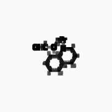 CCCOC=O.c1ccc2ncccc2c1